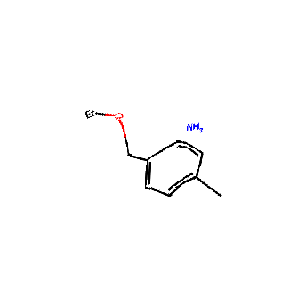 CCOCc1ccc(C)cc1.N